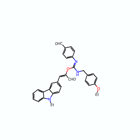 CCOc1ccc(CN/C(=N/c2ccc(C=O)cc2)O/C(C=O)=C/c2ccc3c(c2)c2ccccc2n3CC)cc1